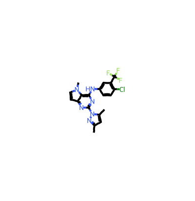 Cc1cc(C)n(-c2nc(Nc3ccc(Cl)c(C(F)(F)F)c3)c3c(ccn3C)n2)n1